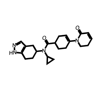 O=C1C=CCCN1C1=CCC(C(=O)N(C2CC2)C2CCc3[nH]ncc3C2)CC1